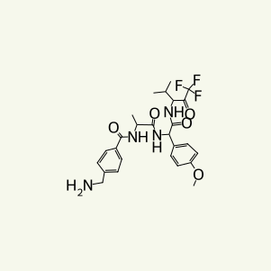 COc1ccc(C(NC(=O)C(C)NC(=O)c2ccc(CN)cc2)C(=O)NC(C(=O)C(F)(F)F)C(C)C)cc1